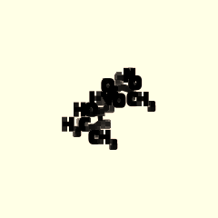 Cc1oncc1S(=O)(=O)NCC(O)CC(C)C